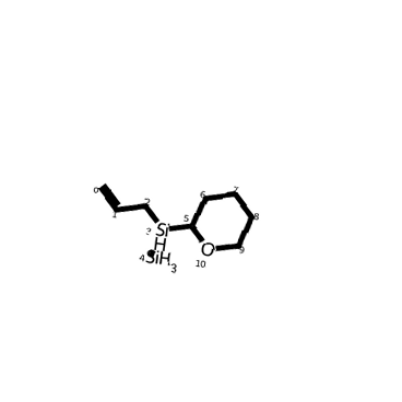 C=CC[SiH]([SiH3])C1CCCCO1